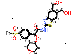 CCS(=O)(=O)c1ccc(C(OC2CCOCC2)C(=O)Nc2nc3cc(CO)c(CO)cc3s2)cc1